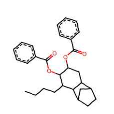 CCCCC1C(OC(=O)c2ccccc2)C(OC(=O)c2ccccc2)CC2C3CCC(C3)C21